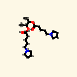 CC(OC(=O)CCCCN1CCCC1)C(C)OC(=O)CCCCN1CCCC1